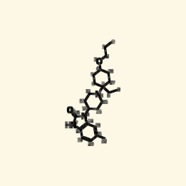 CCCOC1CCC(CC)(N2CCC(n3c(=O)[nH]c4ccc(C)cc43)CC2)CC1